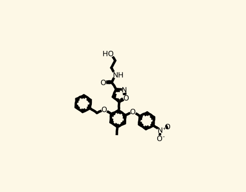 Cc1cc(OCc2ccccc2)c(-c2cc(C(=O)NCCO)no2)c(Oc2ccc([N+](=O)[O-])cc2)c1